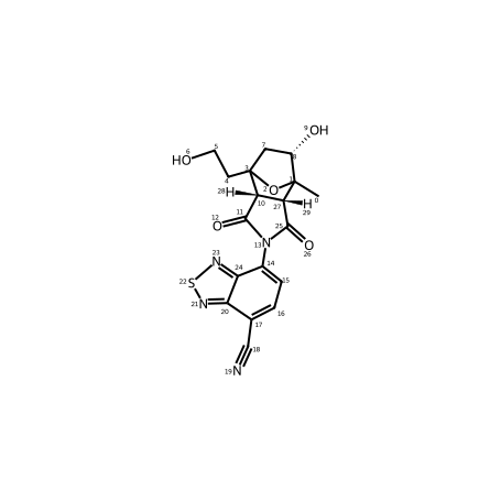 CC12OC(CCO)(C[C@@H]1O)[C@H]1C(=O)N(c3ccc(C#N)c4nsnc34)C(=O)[C@H]12